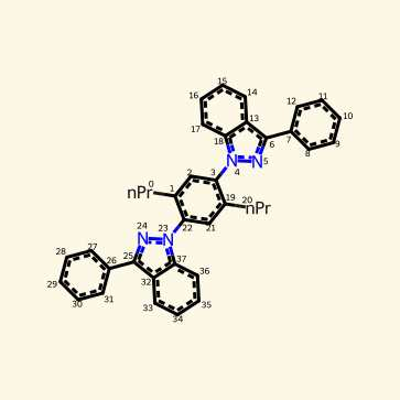 CCCc1cc(-n2nc(-c3ccccc3)c3ccccc32)c(CCC)cc1-n1nc(-c2ccccc2)c2ccccc21